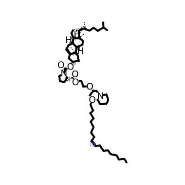 CCCCCCCC/C=C\CCCCCCCCOCC(CN1CCCCC1)OCCOC(=O)[C@@H]1CCCN1C(=O)O[C@H]1CC[C@@]2(C)C(=CC[C@H]3[C@@H]4CC[C@H]([C@H](C)CCCC(C)C)[C@@]4(C)CC[C@@H]32)C1